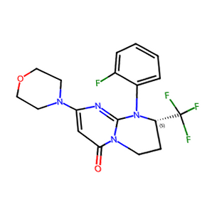 O=c1cc(N2CCOCC2)nc2n1CC[C@@H](C(F)(F)F)N2c1ccccc1F